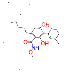 CCCCCc1cc(O)c(C2C=C(C)CCC2)c(O)c1C(=O)NOC